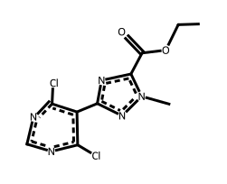 CCOC(=O)c1nc(-c2c(Cl)ncnc2Cl)nn1C